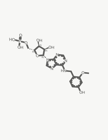 COc1cc(O)ccc1CNc1ncnc2c1ncn2[C@@H]1O[C@H](COP(=O)(O)O)[C@@H](O)[C@H]1O